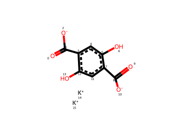 O=C([O-])c1cc(O)c(C(=O)[O-])cc1O.[K+].[K+]